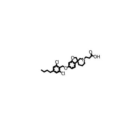 CCCCc1cc(Cl)c(COc2ccc3c(c2)OCC32CCCN(CCC(=O)O)C2)c(Cl)c1